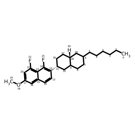 CCCCCCC1CCC2C[C@H](c3ccc4cc(OC)cc(F)c4c3F)CC[C@@H]2C1